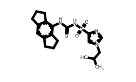 CC(O)Cn1cnc(S(=O)(=O)NC(=O)Nc2c3c(cc4c2CCC4)CCC3)c1